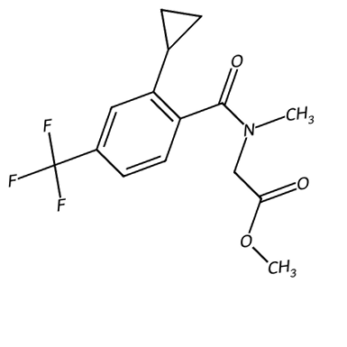 COC(=O)CN(C)C(=O)c1ccc(C(F)(F)F)cc1C1CC1